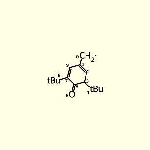 [CH2]C1=CC(C(C)(C)C)C(=O)C(C(C)(C)C)=C1